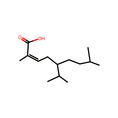 CC(=CCC(CCC(C)C)C(C)C)C(=O)O